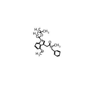 COc1cccc2c1c(CC(=O)N(C)Cc1ccccc1)cn2C(=O)OC(C)(C)C